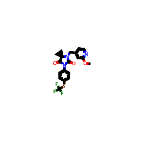 COc1cc(CN2C(=O)N(c3ccc(SC(F)(F)F)cc3)C(=O)C23CC3)ccn1